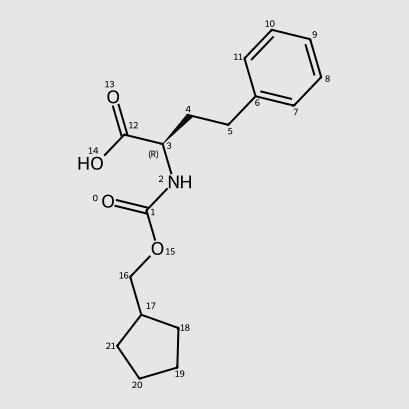 O=C(N[C@H](CCc1ccccc1)C(=O)O)OCC1CCCC1